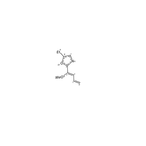 C=C/C=C(\OC)c1ncc(CC)o1